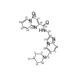 CC1CCN(Cc2ccc3nc(CNC(=O)c4cc(=O)n5ccccc5n4)cn3c2)CC1